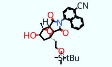 CC(C)(C)[Si](C)(C)OCC[C@]12C[C@@H](O)[C@@](C)(O1)[C@H]1C(=O)N(c3ccc(C#N)c4ccccc34)C(=O)C12